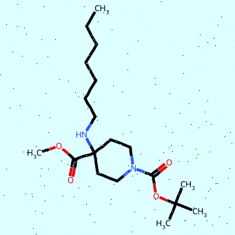 CCCCCCCNC1(C(=O)OC)CCN(C(=O)OC(C)(C)C)CC1